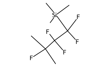 CC(C)(F)C(F)(F)C(F)(F)[Si](C)(C)C